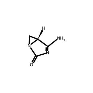 NC1=NC(=O)N2C[C@H]12